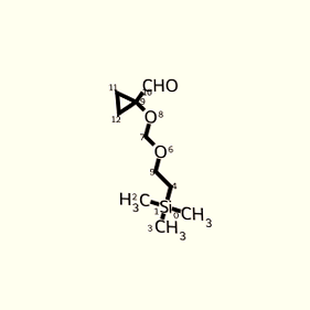 C[Si](C)(C)CCOCOC1(C=O)CC1